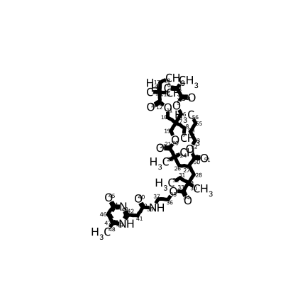 C=C(C)C(=O)OCC(CC)(COC(=O)C(C)(C)CC)COC(=O)C(C)(C)CC(CC(C)(CC)C(=O)OCCNC(=O)Cc1nc(=O)cc(C)[nH]1)C(=O)OCCCC